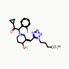 O=C(O)CCCn1nnnc1/C=C1\CN(C(C(=O)C2CC2)c2ccccc2F)CCC1S